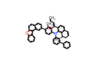 C=C/C=C(\C=C/C)c1ccc2c(c1N(c1ccc(-c3ccc4ccc5oc6ccccc6c5c4c3)cc1)c1cccc(-c3ccccc3)c1)C(C)CC=C2